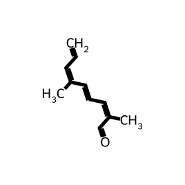 C=CC=C(C)C=CC=C(C)C=O